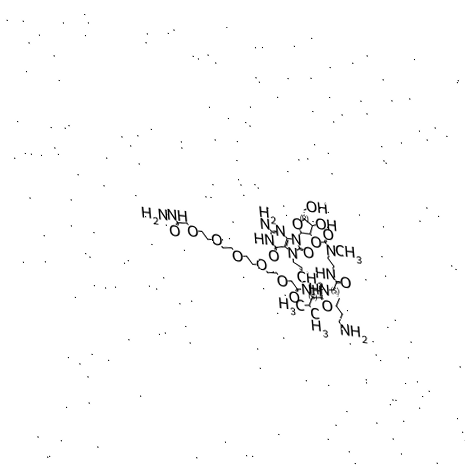 C=CCn1c(=O)n(C2O[C@H](CO)C(O)C2OC(=O)N(C)CCNC(=O)[C@H](CCCCN)NC(=O)[C@@H](NC(=O)COCCOCCOCCOCCOCC(=O)NN)C(C)C)c2nc(N)[nH]c(=O)c21